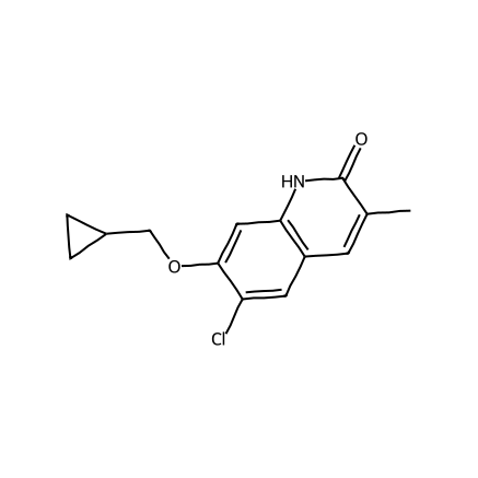 Cc1cc2cc(Cl)c(OCC3CC3)cc2[nH]c1=O